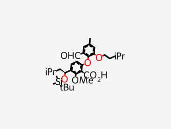 COc1c([C@H](CC(C)C)O[Si](C)(C)C(C)(C)C)ccc(Oc2c(C=O)cc(C)cc2OCCC(C)C)c1C(=O)O